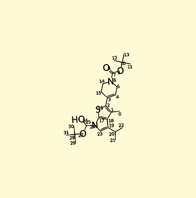 Cc1c(C2=CCN(C(=O)OC(C)(C)C)CC2)sc2c1c(C(C)C)cn2C(O)OC(C)(C)C